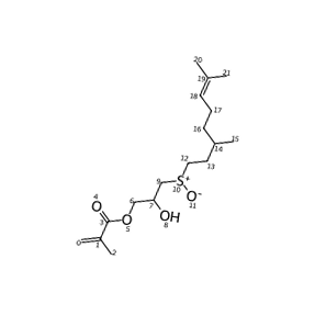 C=C(C)C(=O)OCC(O)C[S+]([O-])CCC(C)CCC=C(C)C